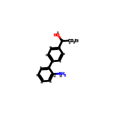 CCOC(=O)C(O)c1ccc(-c2ccccc2N)cc1